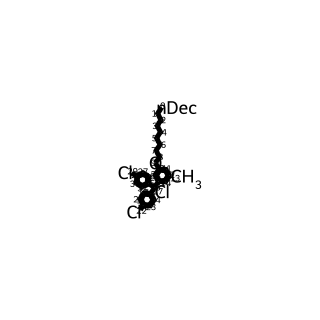 CCCCCCCCCCCCCCCCCCOc1cc(C)cc(C(Cl)(c2ccc(Cl)cc2)c2ccc(Cl)cc2)c1